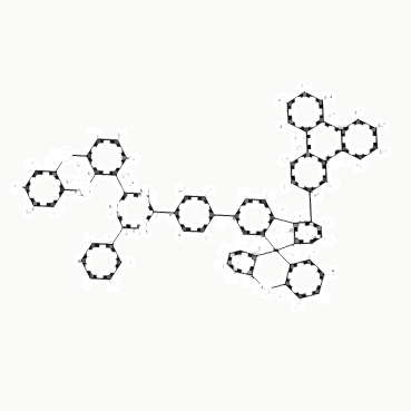 c1ccc(-c2nc(-c3ccc(-c4ccc5c(c4)C4(c6ccccc6Sc6ccccc64)c4cccc(-c6ccc7c8ccccc8c8ccccc8c7c6)c4-5)cc3)nc(-c3cccc4c3Oc3ccccc3S4)n2)cc1